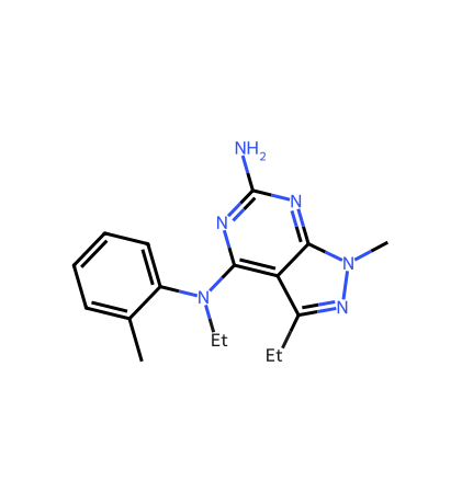 CCc1nn(C)c2nc(N)nc(N(CC)c3ccccc3C)c12